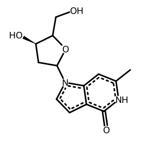 Cc1cc2c(ccn2C2C[C@@H](O)C(CO)O2)c(=O)[nH]1